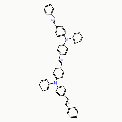 C1=CC(N(c2ccc(/C=C/c3ccccc3)cc2)c2ccc(/C=C/c3ccc(N(c4ccccc4)c4ccc(/C=C/c5ccccc5)cc4)cc3)cc2)=CCC1